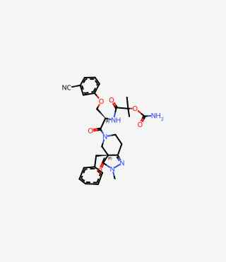 CN1N=C2CCN(C(=O)[C@@H](COc3cccc(C#N)c3)NC(=O)C(C)(C)OC(N)=O)C[C@@]2(Cc2ccccc2)C1=O